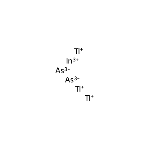 [As-3].[As-3].[In+3].[Tl+].[Tl+].[Tl+]